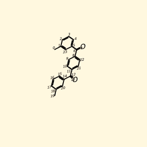 Cc1cccc(C(=O)c2ccc(C(=O)c3cccc(C)c3)cc2)c1